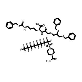 NC(=O)N1CCN(S(=O)(=O)C(F)(F)C(F)(F)C(F)(F)C(F)(F)C(F)(F)C(F)(F)C(F)(F)C(F)(F)F)CC1.O=C(COCC(COCc1ccccc1)OCc1ccccc1)N[C@@H](CCCCNC(=O)OCc1ccccc1)C(=O)O